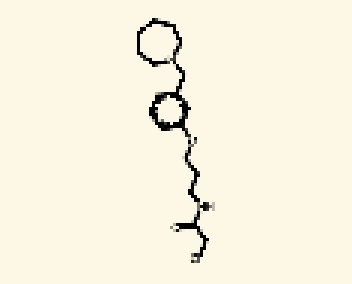 O=C(CCl)NCCCOc1cccc(CN2CCCCCC2)c1